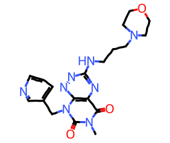 Cn1c(=O)c2nc(NCCCN3CCOCC3)nnc2n(Cc2cccnc2)c1=O